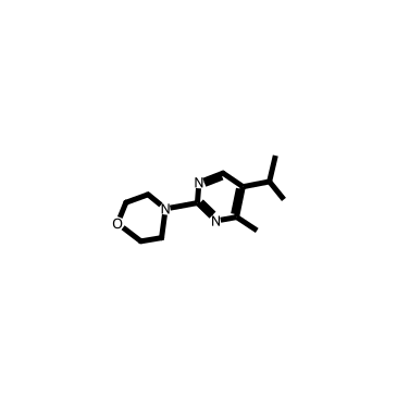 Cc1nc(N2CCOCC2)ncc1C(C)C